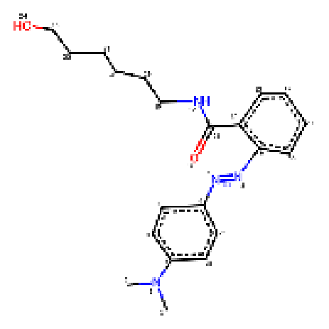 CN(C)c1ccc(/N=N/c2ccccc2C(=O)NCCCCCCO)cc1